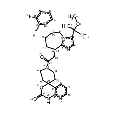 COC(C)(C)c1cnc2n1C[C@@H](c1cccc(F)c1F)CC[C@@H]2CC(=O)N1CCC2(CC1)OC(=O)Nc1ncccc12